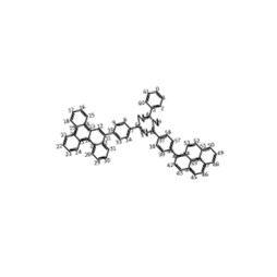 c1ccc(-c2nc(-c3ccc(-c4cc5c6ccccc6c6ccccc6c5c5ccccc45)cc3)nc(-c3ccc(-c4ccc5ccc6cccc7ccc4c5c67)cc3)n2)cc1